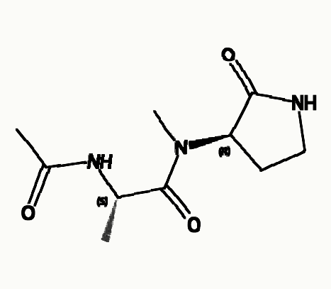 CC(=O)N[C@@H](C)C(=O)N(C)[C@@H]1CCNC1=O